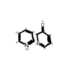 O=C1C=CC=NC1.c1ccncc1